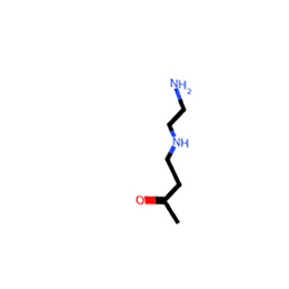 CC(=O)CCNCCN